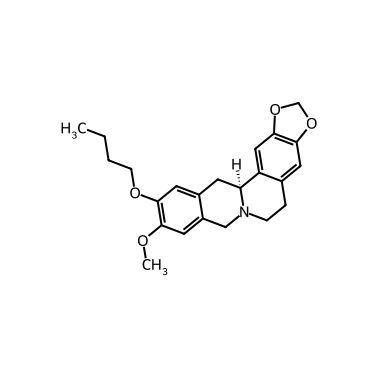 CCCCOc1cc2c(cc1OC)CN1CCc3cc4c(cc3[C@@H]1C2)OCO4